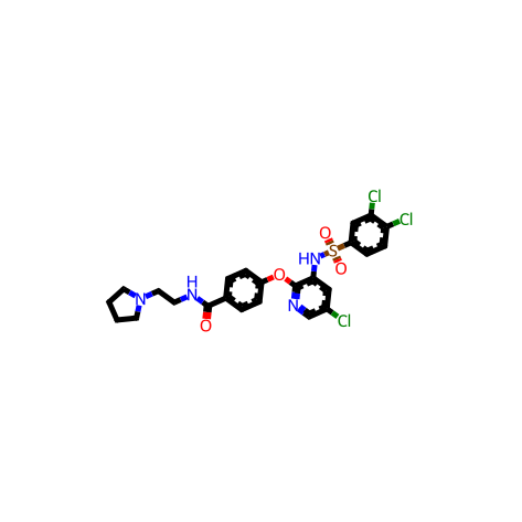 O=C(NCCN1CCCC1)c1ccc(Oc2ncc(Cl)cc2NS(=O)(=O)c2ccc(Cl)c(Cl)c2)cc1